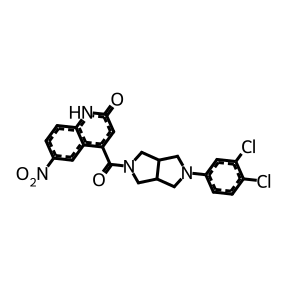 O=C(c1cc(=O)[nH]c2ccc([N+](=O)[O-])cc12)N1CC2CN(c3ccc(Cl)c(Cl)c3)CC2C1